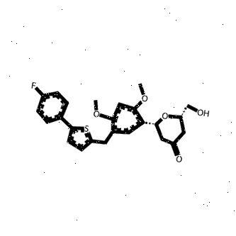 COc1cc(OC)c([C@H]2CC(=O)C[C@@H](CO)O2)cc1Cc1ccc(-c2ccc(F)cc2)s1